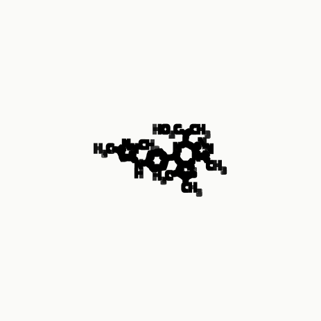 Cc1cc(Nc2ccc(C3=NC([C@H](C)C(=O)O)c4nnc(C)n4-c4sc(C)c(C)c43)cc2)n(C)n1